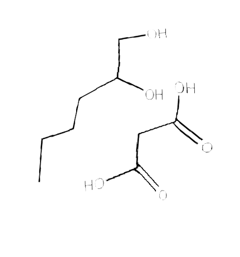 CCCCC(O)CO.O=C(O)CC(=O)O